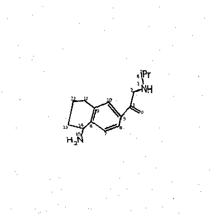 C=C(CNC(C)C)c1ccc2c(c1)CCCC2N